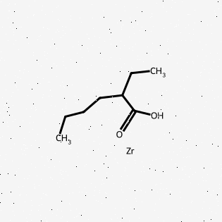 CCCCC(CC)C(=O)O.[Zr]